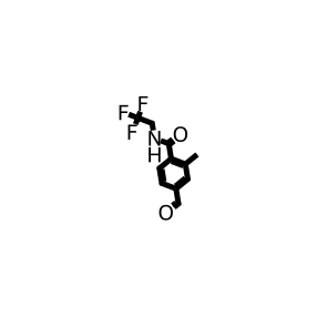 Cc1cc(C=O)ccc1C(=O)NCC(F)(F)F